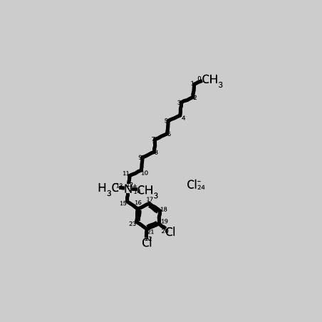 CCCCCCCCCCCC[N+](C)(C)Cc1ccc(Cl)c(Cl)c1.[Cl-]